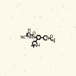 CN(C)CC(=O)N1CCC(c2ccc(NC(=O)c3nc(C#N)c[nH]3)c(C3=CCC(C)(C)NC3)c2)CC1